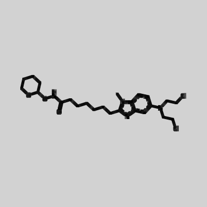 Cn1c(CCCCCCC(=O)NOC2CCCCO2)nc2cc(N(CCCl)CCCl)ccc21